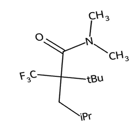 CC(C)CC(C(=O)N(C)C)(C(C)(C)C)C(F)(F)F